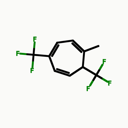 CC1=CC=C(C(F)(F)F)C=CC1C(F)(F)F